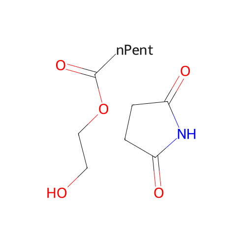 CCCCCC(=O)OCCO.O=C1CCC(=O)N1